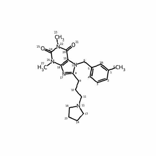 Cc1cccc(Cn2c(CCCN3CCCC3)nc3c2c(=O)n(C)c(=O)n3C)c1